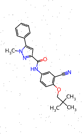 Cn1nc(C(=O)Nc2ccc(OCC(C)(C)C)c(C#N)c2)cc1-c1ccccc1